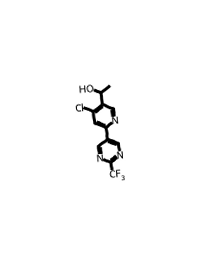 CC(O)c1cnc(-c2cnc(C(F)(F)F)nc2)cc1Cl